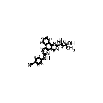 CC(C)(O)CNc1ncc(-c2ccnc(Nc3ccc(C#N)cc3)n2)c(-c2ccccc2)n1